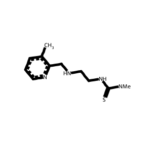 CNC(=S)NCCNCc1ncccc1C